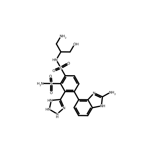 NCC(CO)NS(=O)(=O)c1ccc(-c2cccc3[nH]c(N)nc23)c(C2=NNNN2)c1S(N)(=O)=O